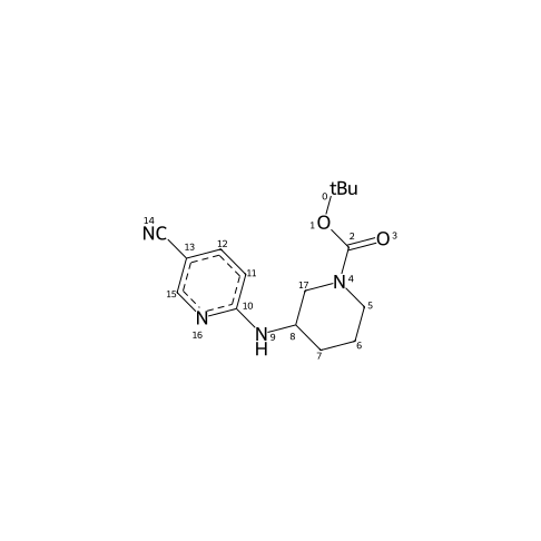 CC(C)(C)OC(=O)N1CCCC(Nc2ccc(C#N)cn2)C1